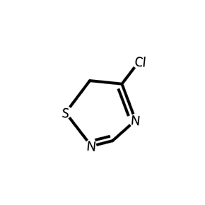 ClC1=NC=NSC1